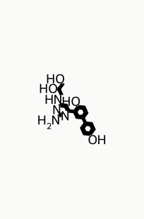 Nc1nc(NCC(O)CO)cc(-c2cc(-c3ccc(O)cc3)ccc2O)n1